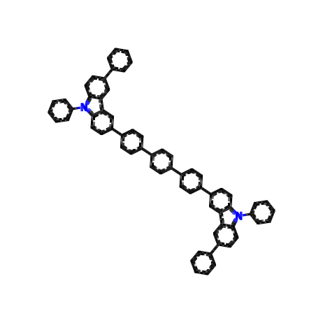 c1ccc(-c2ccc3c(c2)c2cc(-c4ccc(-c5ccc(-c6ccc(-c7ccc8c(c7)c7cc(-c9ccccc9)ccc7n8-c7ccccc7)cc6)cc5)cc4)ccc2n3-c2ccccc2)cc1